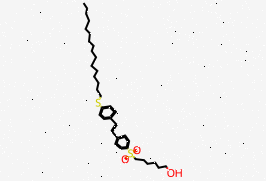 CCCCCCCCCCCCCCCCSc1ccc(C=Cc2ccc(S(=O)(=O)CCCCCCO)cc2)cc1